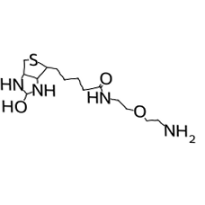 NCCOCCNC(=O)CCCCC1SCC2NC(O)NC21